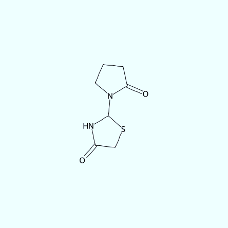 O=C1CSC(N2CCCC2=O)N1